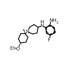 CCO[C@H]1CC[C@](C)(N2CCC(Nc3cc(F)ccc3N)CC2)CC1